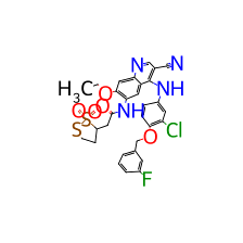 CCOc1cc2ncc(C#N)c(Nc3ccc(OCc4cccc(F)c4)c(Cl)c3)c2cc1NC(=O)CC1CCSS1(=O)=O